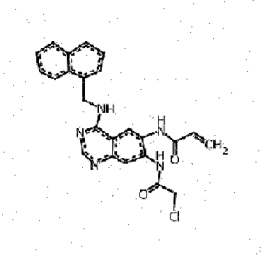 C=CC(=O)Nc1cc2c(NCc3cccc4ccccc34)ncnc2cc1NC(=O)CCl